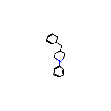 C1=CCC(CC2CCN(c3ccccc3)CC2)C=C1